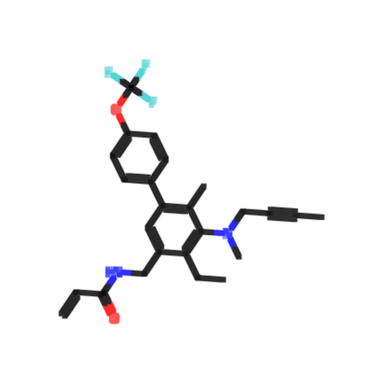 C=CC(=O)NCc1cc(-c2ccc(OC(F)(F)F)cc2)c(C)c(N(C)CC#CC)c1CC